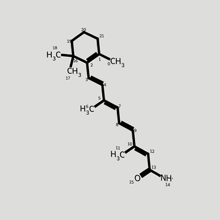 CC1=C(/C=C/C(C)=C/C=C/C(C)=C/C([NH])=O)C(C)(C)CCC1